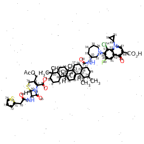 CC(=O)OCC1=C(C(=O)O[C@H]2CC[C@@]3(C)C(CC[C@]4(C)[C@@H]3CC=C3[C@@H]5[C@@H](C)[C@H](C)CC[C@]5(C(=O)N[C@H]5CCCCN(c6c(F)cc7c(=O)c(C(=O)O)cn(C8CC8)c7c6Cl)C5)CC[C@]34C)C2(C)C)N2C(=O)[C@@H](NC(=O)Cc3cccs3)[C@H]2SC1